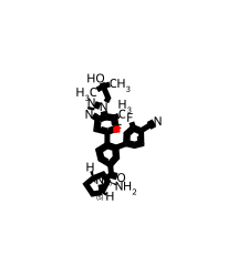 Cc1c(F)c(-c2ccc(C(=O)N3[C@@H]4CC[C@H]3[C@@H](N)C4)cc2-c2ccc(C#N)c(F)c2)cc2nnn(CC(C)(C)O)c12